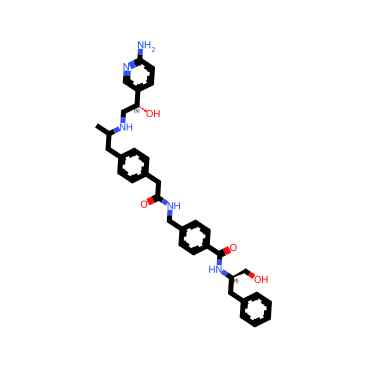 CC(Cc1ccc(CC(=O)NCc2ccc(C(=O)N[C@@H](CO)Cc3ccccc3)cc2)cc1)NC[C@@H](O)c1ccc(N)nc1